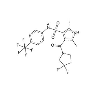 Cc1[nH]c(C)c(S(=O)(=O)Nc2ccc(S(F)(F)(F)(F)F)cc2)c1C(=O)N1CCC(F)(F)C1